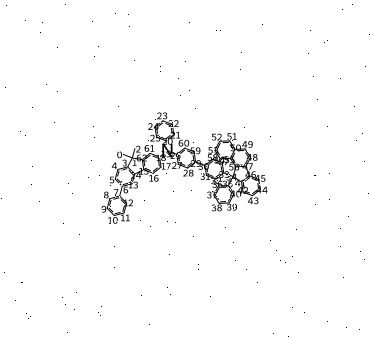 CC1(C)c2ccc(-c3ccccc3)cc2-c2ccc(N(c3ccccc3)c3ccc(-c4ccc(C5(c6ccccc6)c6ccccc6-c6ccc7ccccc7c65)cc4)cc3)cc21